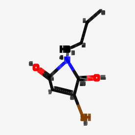 CCCBN1C(=O)C=C(S)C1=O